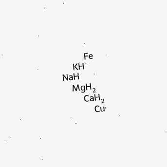 [CaH2].[Cu].[Fe].[KH].[MgH2].[NaH]